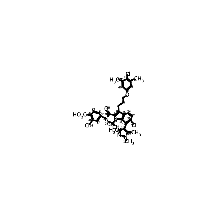 Cc1cc(OCCCc2c3n(c4c(-c5c(C)nn(C)c5C)c(Cl)ccc24)[C@H](C)CN(c2ccc(C(=O)O)c(Cl)c2)C3=O)cc(C)c1Cl